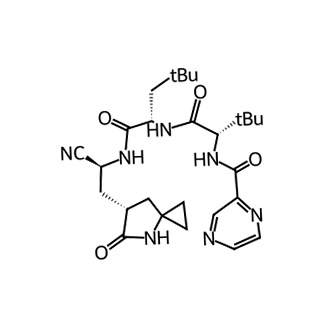 CC(C)(C)C[C@H](NC(=O)[C@@H](NC(=O)c1cnccn1)C(C)(C)C)C(=O)N[C@H](C#N)C[C@@H]1CC2(CC2)NC1=O